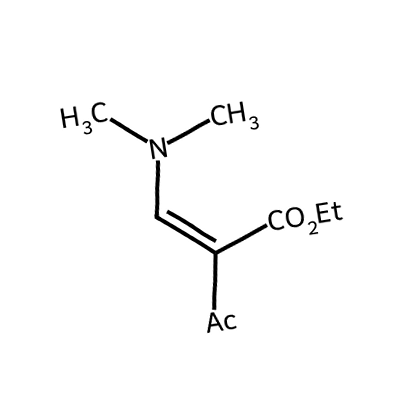 CCOC(=O)/C(=C\N(C)C)C(C)=O